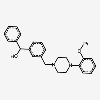 CC(C)Oc1ccccc1N1CCN(Cc2cccc(C(O)c3ccccc3)c2)CC1